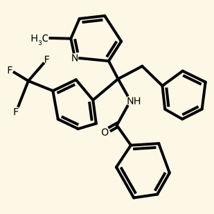 Cc1cccc(C(Cc2ccccc2)(NC(=O)c2ccccc2)c2cccc(C(F)(F)F)c2)n1